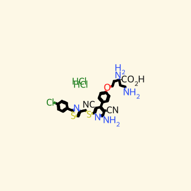 Cl.Cl.N#Cc1c(N)nc(SCc2csc(-c3ccc(Cl)cc3)n2)c(C#N)c1-c1ccc(OCC[C@@](N)(CCN)C(=O)O)cc1